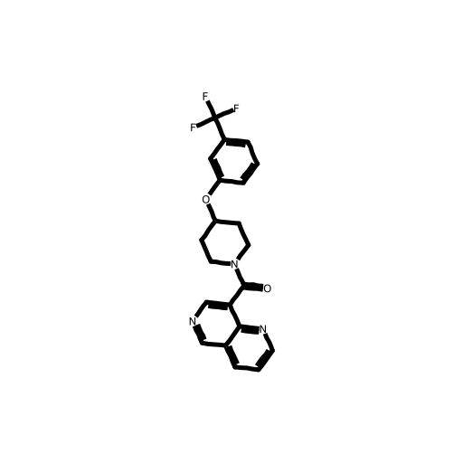 O=C(c1cncc2cccnc12)N1CCC(Oc2cccc(C(F)(F)F)c2)CC1